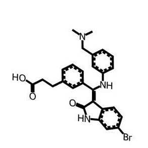 CN(C)Cc1cccc(NC(=C2C(=O)Nc3cc(Br)ccc32)c2cccc(CCC(=O)O)c2)c1